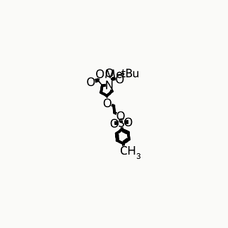 COC(=O)[C@@H]1C[C@@H](OCCOS(=O)(=O)c2ccc(C)cc2)CN1C(=O)OC(C)(C)C